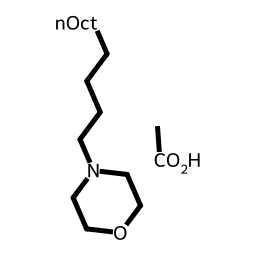 CC(=O)O.CCCCCCCCCCCCN1CCOCC1